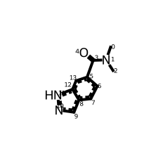 CN(C)C(=O)c1ccc2cn[nH]c2c1